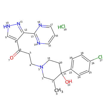 CC1CN(CCC(=O)c2c[nH]nc2-c2ncccn2)CCC1(O)c1ccc(Cl)cc1.Cl